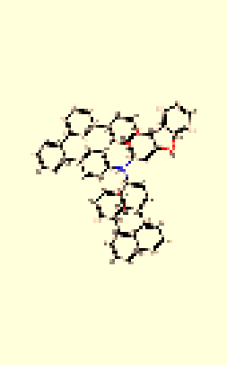 c1ccc(-c2cccc(-c3ccccc3-c3ccc(N(c4ccc(-c5cccc6cccc(-c7ccccc7)c56)cc4)c4ccc5c(c4)oc4ccccc45)cc3)c2)cc1